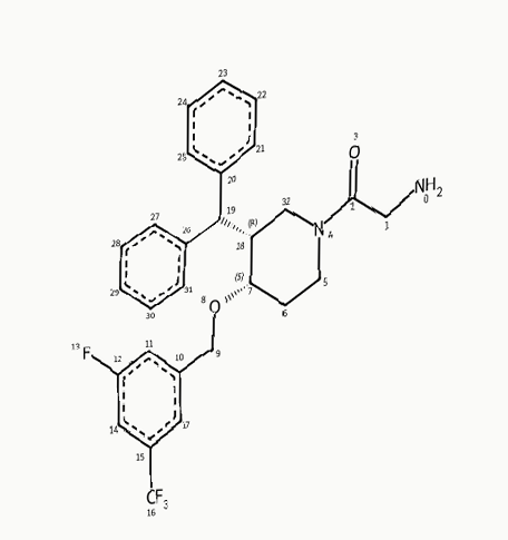 NCC(=O)N1CC[C@H](OCc2cc(F)cc(C(F)(F)F)c2)[C@H](C(c2ccccc2)c2ccccc2)C1